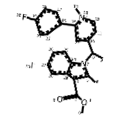 COC(=O)c1c(C)n(C(C)c2cc[n+](C)c(-c3ccc(F)cc3)c2)c2ccccc12.[I-]